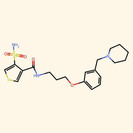 NS(=O)(=O)c1cscc1C(=O)NCCCOc1cccc(CN2CCCCC2)c1